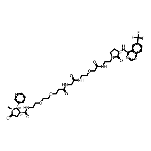 CN1C(=O)C[C@H](C(=O)NCCOCCOCCC(=O)NCC(=O)NCCOCC(=O)NCCN2CC[C@H](Nc3ncnc4ccc(C(F)(F)F)cc34)C2=O)[C@H]1c1cccnc1